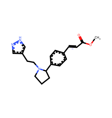 COC(=O)/C=C/c1ccc(C2CCCN2CCc2cn[nH]c2)cc1